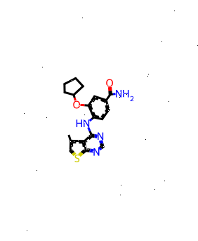 Cc1csc2ncnc(Nc3ccc(C(N)=O)cc3OC3CCCC3)c12